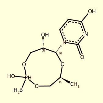 B[PH]1(O)OC[C@H](C)O[C@@H](n2ccc(O)nc2=O)[C@@H](O)CO1